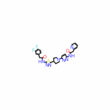 O=C(Cc1ccccn1)Nc1ccc(N2CCC(c3nnc(NC(=O)Cc4ccc(F)c(F)c4)s3)CC2)nn1